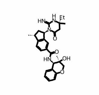 CC[C@]1(C)CC(=O)N([C@@H]2C[C@@H](C)c3ccc(C(=O)N[C@@H]4c5ccccc5OC[C@]4(C)O)cc32)C(=N)N1